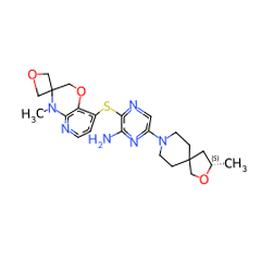 C[C@H]1CC2(CCN(c3cnc(Sc4ccnc5c4OCC4(COC4)N5C)c(N)n3)CC2)CO1